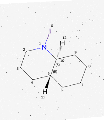 IN1CCC[C@H]2CCCC[C@@H]21